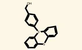 OCc1ccc([S+]2c3ccccc3Sc3ccccc32)cc1